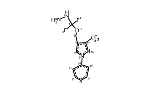 NNC(F)(F)OCc1cn(-c2ccccc2)nc1C(F)(F)F